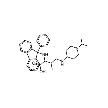 CC(CNC1CCN(C(C)C)CC1)C(NC1(c2ccccc2)c2ccccc2-c2ccccc21)C(=O)O